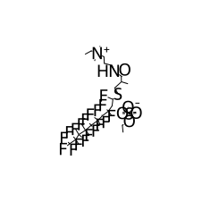 CCOS(=O)(=O)[O-].CC[N+](C)(C)CCCNC(=O)C(C)CSC(F)CC(F)(F)C(F)(F)C(F)(F)C(F)(F)C(F)(F)C(F)(F)C(F)(F)C(F)(F)F